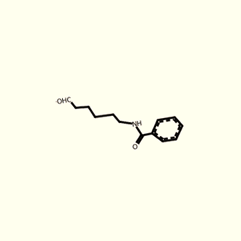 O=[C]CCCCCNC(=O)c1ccccc1